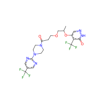 CC(COCCC(=O)N1CCN(c2ncc(C(F)(F)F)cn2)CC1)Oc1cn[nH]c(=O)c1C(F)(F)F